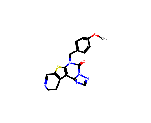 COc1ccc(Cn2c(=O)n3ncnc3c3c4c(sc32)C=NCC4)cc1